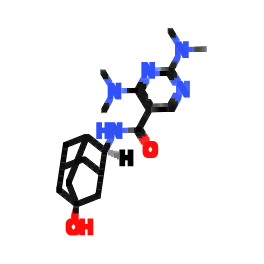 CN(C)c1ncc(C(=O)N[C@H]2C3CC4CC2C[C@@](O)(C4)C3)c(N(C)C)n1